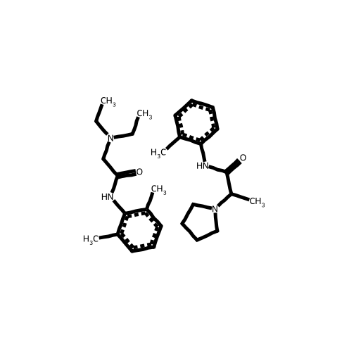 CCN(CC)CC(=O)Nc1c(C)cccc1C.Cc1ccccc1NC(=O)C(C)N1CCCC1